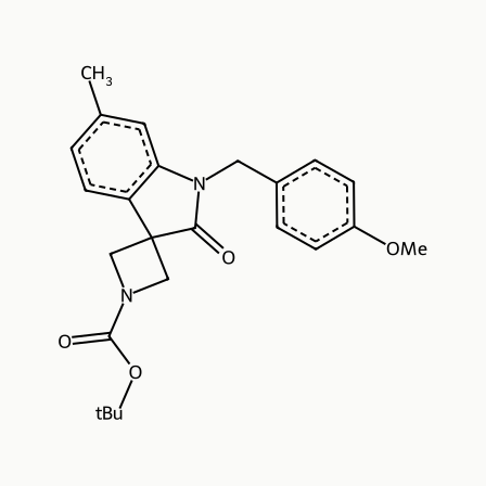 COc1ccc(CN2C(=O)C3(CN(C(=O)OC(C)(C)C)C3)c3ccc(C)cc32)cc1